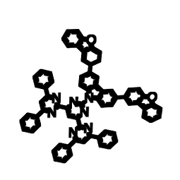 C1=c2oc3ccccc3c2=CC(c2ccc3c(c2)c2cc(-c4ccc5oc6ccccc6c5c4)ccc2n3-c2nc(-c3nc(-c4ccccc4)cc(-c4ccccc4)n3)cc(-c3nc(-c4ccccc4)cc(-c4ccccc4)n3)n2)C1